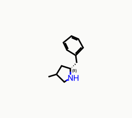 CC1CN[C@@H](Cc2ccccc2)C1